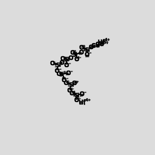 O=[Si]([O-])[O-].O=[Si]([O-])[O-].O=[Si]([O-])[O-].O=[Si]([O-])[O-].O=[Si]([O-])[O-].O=[Si]([O-])[O-].O=[Si]([O-])[O-].[Gd+3].[Gd+3].[Hf+4].[Hf+4]